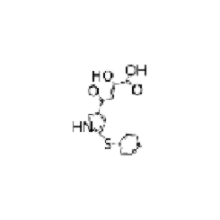 O=C(O)C(O)=CC(=O)c1c[nH]c(Sc2ccccc2)c1